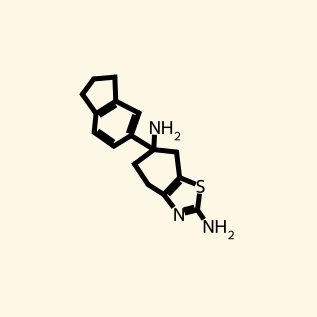 Nc1nc2c(s1)CC(N)(c1ccc3c(c1)CCC3)CC2